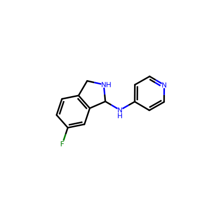 Fc1ccc2c(c1)C(Nc1ccncc1)NC2